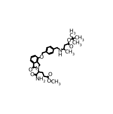 COC(=O)CCC(C(N)=O)N1Cc2c(OCc3ccc(CNC(C)CC(=O)OC(C)(C)C)cc3)cccc2C1=O